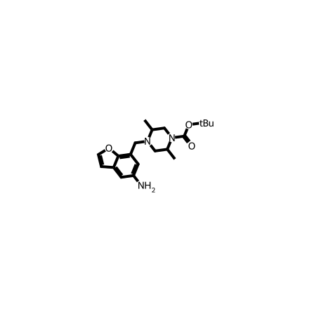 CC1CN(C(=O)OC(C)(C)C)C(C)CN1Cc1cc(N)cc2ccoc12